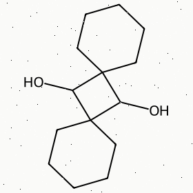 OC1C2(CCCCC2)C(O)C12CCCCC2